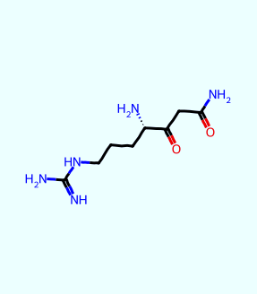 N=C(N)NCCC[C@H](N)C(=O)CC(N)=O